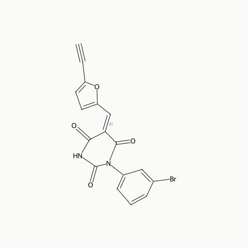 C#Cc1ccc(/C=C2\C(=O)NC(=O)N(c3cccc(Br)c3)C2=O)o1